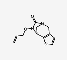 C=CCON1C(=O)N2Cc3ccsc3C1C2